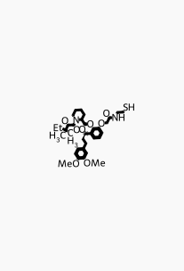 CCC(C)(C)C(=O)C(=O)N1CCCCC1C(=O)O[C@H](CCc1ccc(OC)c(OC)c1)c1cccc(OCC(=O)NCCS)c1